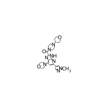 Cn1cc(-c2cc(N3CCOCC3)c3nc(C(=O)N4CCN(C5CCOCC5)CC4)[nH]c3n2)cn1